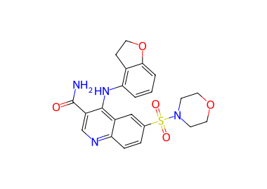 NC(=O)c1cnc2ccc(S(=O)(=O)N3CCOCC3)cc2c1Nc1cccc2c1CCO2